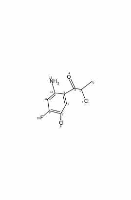 CC(Cl)C(=O)c1cc(Cl)c(F)cc1N